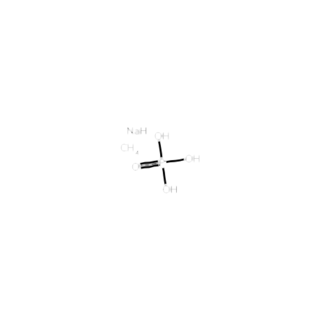 C.O=P(O)(O)O.[NaH]